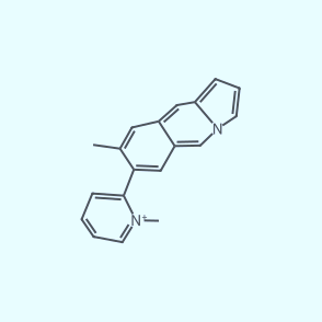 Cc1cc2cc3cccn3cc2cc1-c1cccc[n+]1C